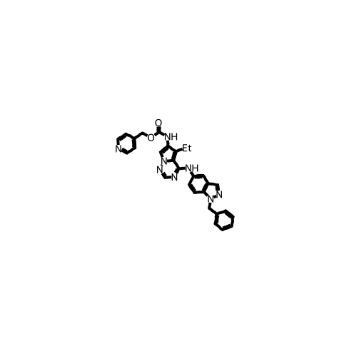 CCc1c(NC(=O)OCc2ccncc2)cn2ncnc(Nc3ccc4c(cnn4Cc4ccccc4)c3)c12